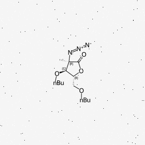 CCCCOC[C@H]1OC(=O)[C@](C)(N=[N+]=[N-])[C@@H]1OCCCC